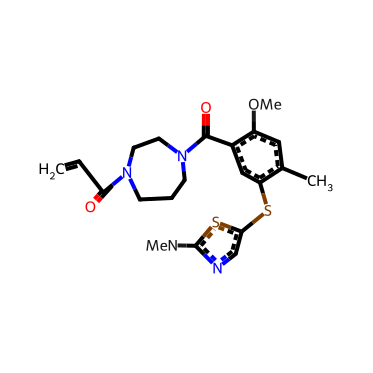 C=CC(=O)N1CCCN(C(=O)c2cc(Sc3cnc(NC)s3)c(C)cc2OC)CC1